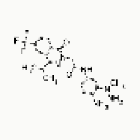 CC(C)c1nn(CC(=O)Nc2ccc(N)c(N(C)N)c2)c(=O)c2ccc(C(F)(F)F)cc12